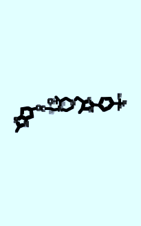 Cc1nc2cc(OC[C@H](O)CN3CCN(Cc4sc(-c5ccc(C(F)(F)F)cc5)nc4C)C[C@@H]3C)ccc2s1